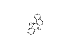 CCc1ccccc1Nc1cccc2ccccc12